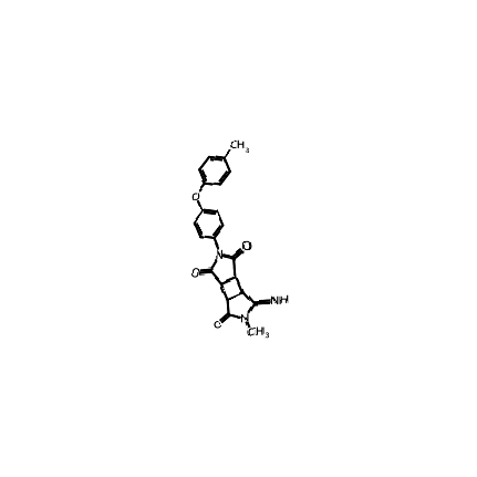 Cc1ccc(Oc2ccc(N3C(=O)C4C5C(=N)N(C)C(=O)C5C4C3=O)cc2)cc1